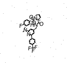 CN(C)c1cc(CNC(=O)[C@@H]2C=CCN2S(=O)(=O)c2ccc(F)cc2)cc(-c2ccc(C(F)(F)F)cc2)n1